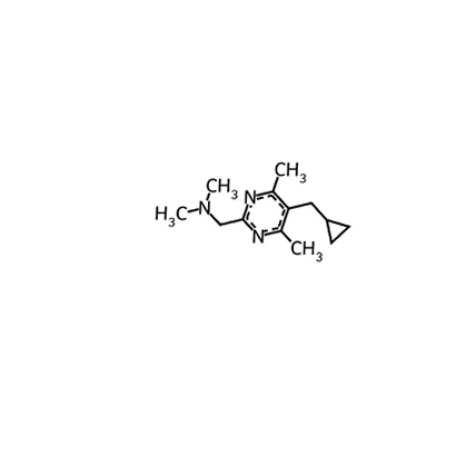 Cc1nc(CN(C)C)nc(C)c1CC1CC1